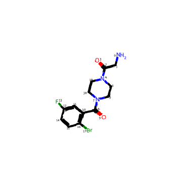 NCC(=O)N1CCN(C(=O)c2cc(F)ccc2Br)CC1